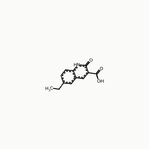 CCc1ccc2[nH]c(=O)c(C(=O)O)cc2c1